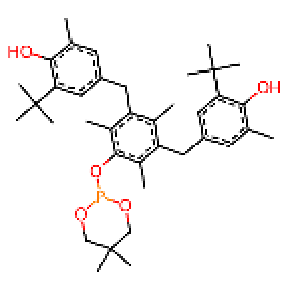 Cc1cc(Cc2c(C)c(Cc3cc(C)c(O)c(C(C)(C)C)c3)c(C)c(OP3OCC(C)(C)CO3)c2C)cc(C(C)(C)C)c1O